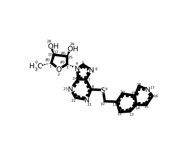 C[C@H]1O[C@@H](n2cnc3c(SCc4ccc5ccncc5c4)ncnc32)[C@H](O)[C@@H]1O